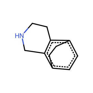 c1cc2c3c(c1CC2)CCNC3